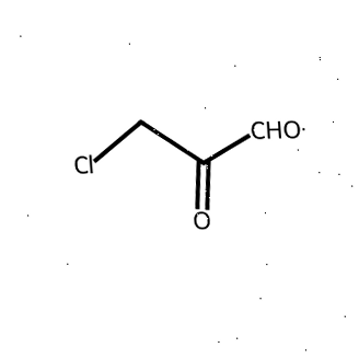 O=[C]C(=O)CCl